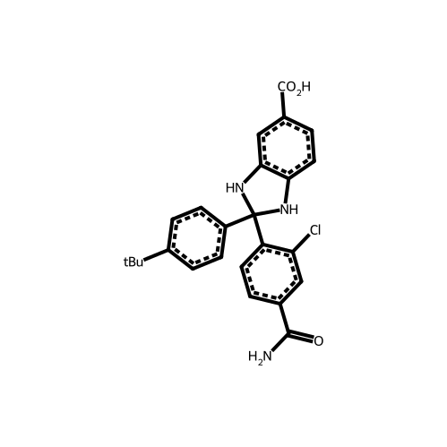 CC(C)(C)c1ccc(C2(c3ccc(C(N)=O)cc3Cl)Nc3ccc(C(=O)O)cc3N2)cc1